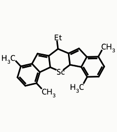 CCC1C2=Cc3c(C)ccc(C)c3[CH]2[Sc][CH]2C1=Cc1c(C)ccc(C)c12